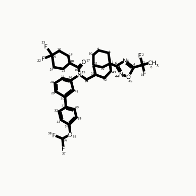 CC(F)(F)c1nc(C23CCCC(C2)C(CN(C(=O)C2CCC(F)(F)CC2)c2cccc(-c4ccc(OC(F)F)cc4)c2)CC3)no1